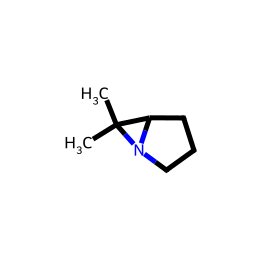 CC1(C)C2CCCN21